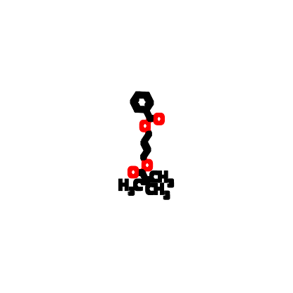 CC(C)(C)C(=O)OCC=CCOC(=O)c1ccccc1